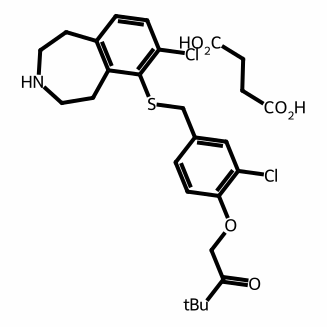 CC(C)(C)C(=O)COc1ccc(CSc2c(Cl)ccc3c2CCNCC3)cc1Cl.O=C(O)CCC(=O)O